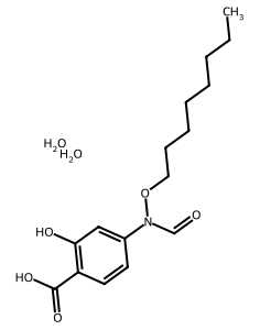 CCCCCCCCON(C=O)c1ccc(C(=O)O)c(O)c1.O.O